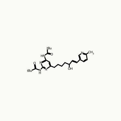 Cc1ccc(/C=C/C(O)CCCCc2cc(NC(=O)C(C)(C)C)nc(NC(=O)C(C)(C)C)n2)cn1